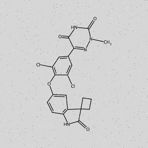 Cn1nc(-c2cc(Cl)c(Oc3ccc4c(c3)C3(CCC3)C(=O)N4)c(Cl)c2)c(=O)[nH]c1=O